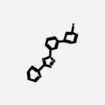 Fc1cccc(-c2cccc(-n3nnc(-c4ccccn4)n3)c2)c1